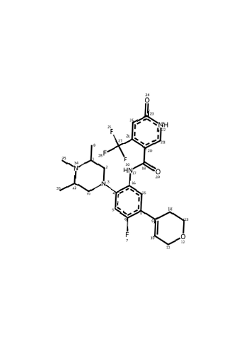 CC1CN(c2cc(F)c(C3=CCOCC3)cc2NC(=O)c2c[nH]c(=O)cc2C(F)(F)F)CC(C)N1C